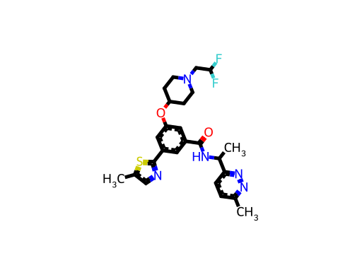 Cc1ccc(C(C)NC(=O)c2cc(OC3CCN(CC(F)F)CC3)cc(-c3ncc(C)s3)c2)nn1